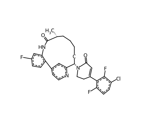 C[C@@H]1CCCC[C@H](N2CCC(c3c(F)ccc(Cl)c3F)=CC2=O)c2cc(ccn2)-c2ccc(F)cc2NC1=O